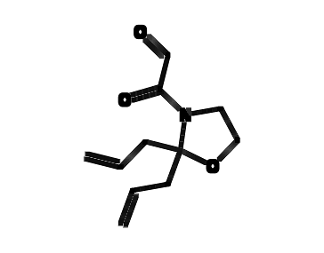 C=CCC1(CC=C)OCCN1C(=O)C=O